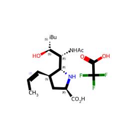 C/C=C\[C@@H]1C[C@H](C(=O)O)N[C@H]1[C@@H](NC(C)=O)[C@@H](O)[C@@H](C)CC.O=C(O)C(F)(F)F